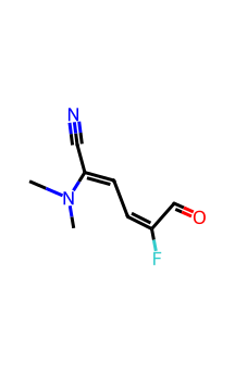 CN(C)/C(C#N)=C\C=C(\F)C=O